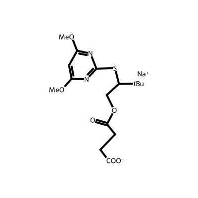 COc1cc(OC)nc(SC(COC(=O)CCC(=O)[O-])C(C)(C)C)n1.[Na+]